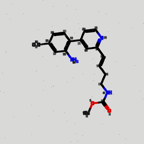 CC(C)(C)OC(=O)NCCC=Cc1cc(-c2ccc([N+](=O)[O-])cc2N)ccn1